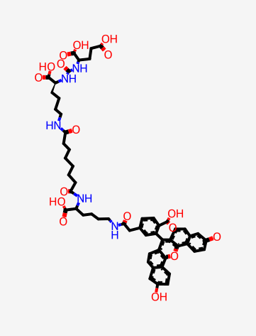 O=C(O)CCC(NC(=O)N[C@@H](CCCCNC(=O)CCCCCCC(=O)NC(CCCCNC(=O)Cc1ccc(C(=O)O)c(-c2c3ccc4cc(O)ccc4c3oc3c2ccc2cc(=O)ccc23)c1)C(=O)O)C(=O)O)C(=O)O